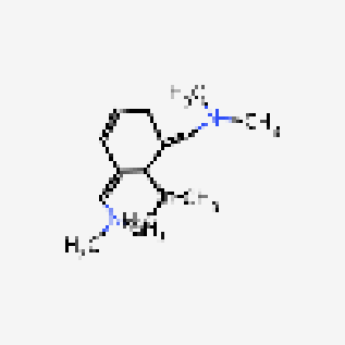 CN(C)/C=C1/C=CC/C(=C\N(C)C)[CH]1[In]([CH3])[CH3]